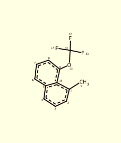 Cc1cccc2cccc(OC(F)(F)F)c12